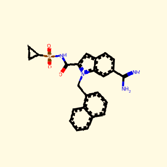 N=C(N)c1ccc2cc(C(=O)NS(=O)(=O)C3CC3)n(Cc3cccc4ccccc34)c2c1